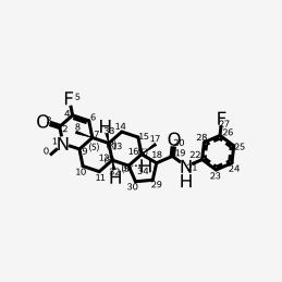 CN1C(=O)C(F)=C[C@@]2(C)C1CC[C@@H]1[C@H]2CC[C@]2(C)C(C(=O)Nc3cccc(F)c3)CC[C@@H]12